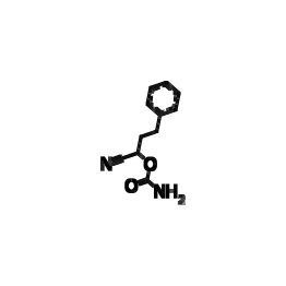 N#CC(CCc1ccccc1)OC(N)=O